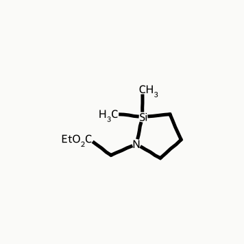 CCOC(=O)CN1CCC[Si]1(C)C